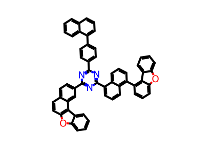 c1ccc2c(-c3ccc(-c4nc(-c5ccc6ccc7oc8ccccc8c7c6c5)nc(-c5cccc6c(-c7cccc8oc9ccccc9c78)cccc56)n4)cc3)cccc2c1